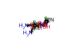 CCc1c(S(=O)(=O)NCP(=O)(O)Oc2ccc(C#N)c(F)c2)sc2c(F)c(OCCCN)c(OCCCN)c(F)c12